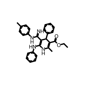 CCOC(=O)C1=C(C)NC(Nc2ccccc2)=C(C(=N)Nc2ccc(C)cc2)C1c1ccccc1